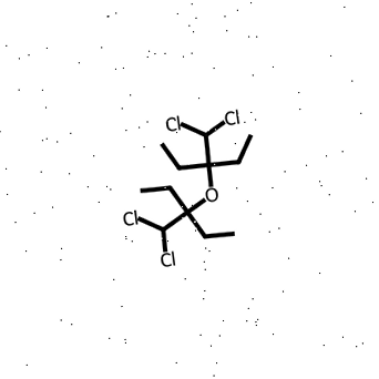 CCC(CC)(OC(CC)(CC)C(Cl)Cl)C(Cl)Cl